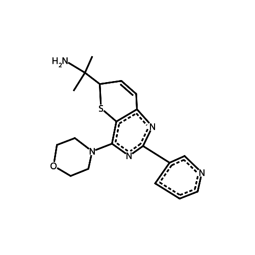 CC(C)(N)C1C=Cc2nc(-c3cccnc3)nc(N3CCOCC3)c2S1